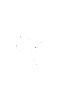 CN(C)Cc1ccc(N/C(=C2\C(=O)Nc3cc(F)ccc32)c2ccc(C=CC(N)=O)cc2)cc1